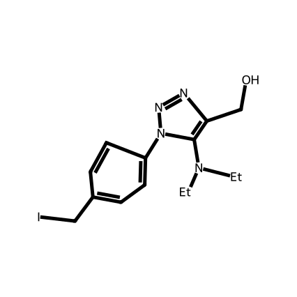 CCN(CC)c1c(CO)nnn1-c1ccc(CI)cc1